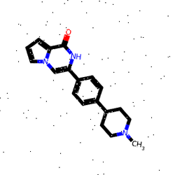 CN1CCC(c2ccc(-c3cn4cccc4c(=O)[nH]3)cc2)CC1